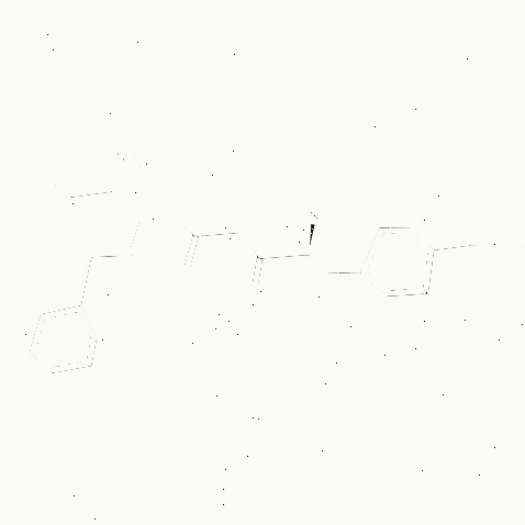 CC(C)C[C@H](N)[C@H](CC(=O)OC(=O)[C@@H](N)Cc1ccc(O)cc1)OCc1ccccc1